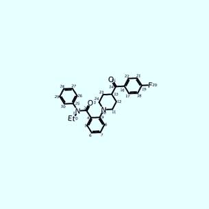 CCN(C(=O)c1ccccc1N1CCC(C(=O)c2ccc(F)cc2)CC1)c1ccccc1